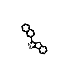 c1ccc2c(c1)Cc1c(-c3ccc4ccccc4c3)n[nH]c1-2